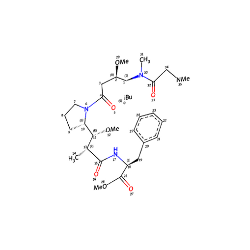 CC[C@H](C)[C@@H]([C@@H](CC(=O)N1CCC[C@H]1[C@H](OC)[C@@H](C)C(=O)N[C@@H](Cc1ccccc1)C(=O)OC)OC)N(C)C(=O)CNC